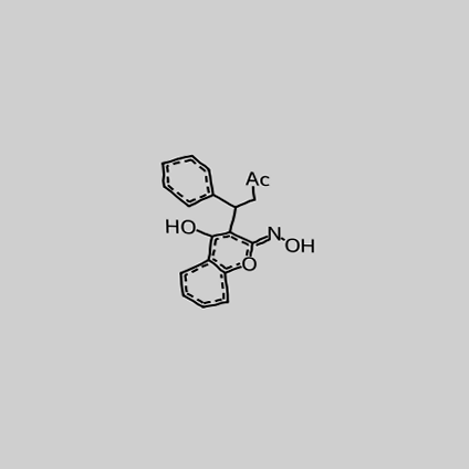 CC(=O)CC(c1ccccc1)c1c(O)c2ccccc2oc1=NO